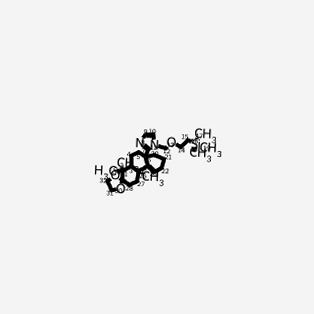 CC1(C)C2CCC3(c4nccn4COCC[Si](C)(C)C)CCCC=C3[C@@]2(C)CCC12OCCO2